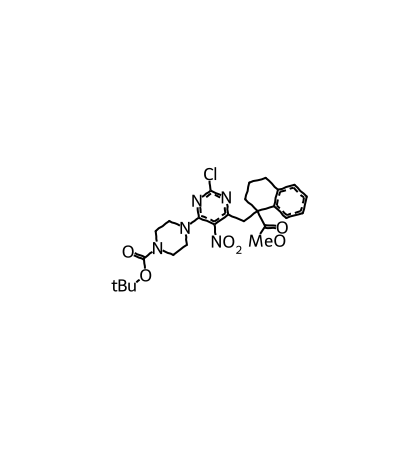 COC(=O)C1(Cc2nc(Cl)nc(N3CCN(C(=O)OC(C)(C)C)CC3)c2[N+](=O)[O-])CCCc2ccccc21